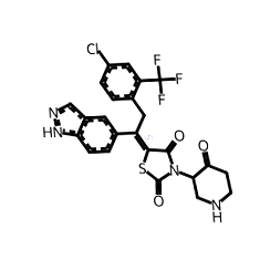 O=C1CCNCC1N1C(=O)S/C(=C(/Cc2ccc(Cl)cc2C(F)(F)F)c2ccc3[nH]ncc3c2)C1=O